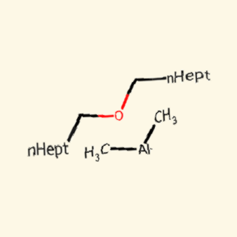 CCCCCCCCOCCCCCCCC.[CH3][Al][CH3]